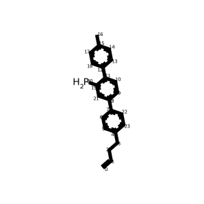 C=CCCc1ccc(-c2ccc(-c3ccc(C)cc3)c(P)c2)cc1